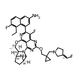 CCc1c(F)ccc2cc(N)cc(-c3nc4c5c(nc(OCC6(CN7CC/C(=C\F)C7)CC6)nc5c3F)N3C[C@H]5CC[C@H](N5)[C@H]3[C@H](C)O4)c12